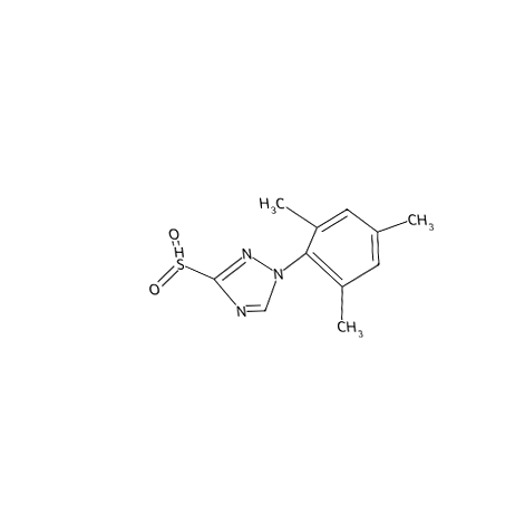 Cc1cc(C)c(-n2cnc([SH](=O)=O)n2)c(C)c1